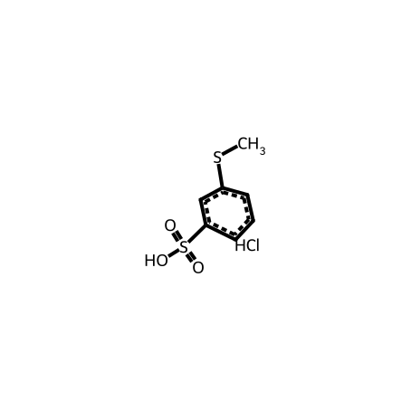 CSc1cccc(S(=O)(=O)O)c1.Cl